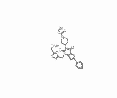 COCc1nnc(Cn2c(=O)n(C3CCN(C(=O)OC(C)(C)C)CC3)c(=O)c3sc(-c4ccccc4)cc32)o1